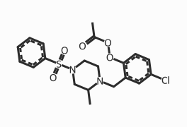 CC(=O)OOc1ccc(Cl)cc1CN1CCN(S(=O)(=O)c2ccccc2)CC1C